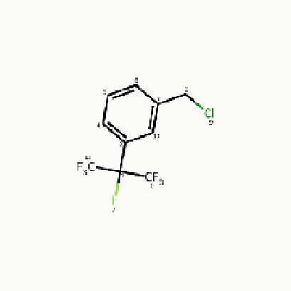 FC(F)(F)C(F)(c1cc[c]c(CCl)c1)C(F)(F)F